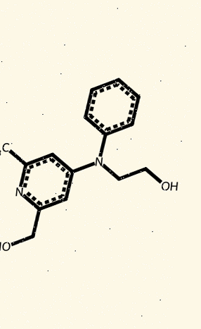 Cc1cc(N(CCO)c2ccccc2)cc(CO)n1